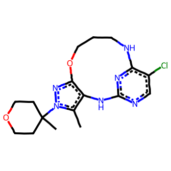 Cc1c2c(nn1C1(C)CCOCC1)OCCCNc1nc(ncc1Cl)N2